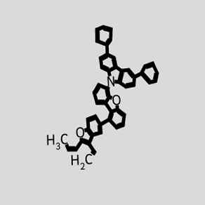 C=Cc1c(/C=C\C)oc2ccc(-c3cccc4oc5c(-n6c7ccc(-c8ccccc8)cc7c7cc(-c8ccccc8)ccc76)cccc5c34)cc12